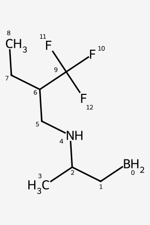 BCC(C)NCC(CC)C(F)(F)F